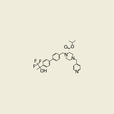 CC(C)OC(=O)[C@@H]1CN(Cc2ccncc2)CCN1Cc1ccc(-c2ccc(C(C)(O)C(F)(F)F)cc2)cc1